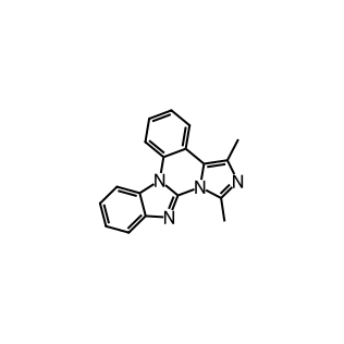 Cc1nc(C)n2c1c1ccccc1n1c3ccccc3nc21